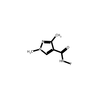 Cc1nn(C)cc1C(=O)NF